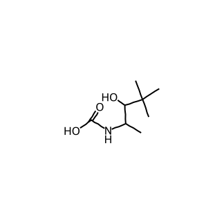 CC(NC(=O)O)C(O)C(C)(C)C